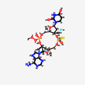 COOP1(=O)OC[C@H]2O[C@@H](n3ccc(=O)[nH]c3=O)[C@H](F)[C@@H]2OP(=O)(S)OC[C@H]2O[C@@H](n3cnc4c(N)ncnc43)[C@H](O1)[C@@H]2F